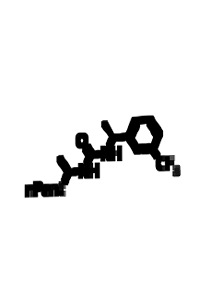 CCCCCC(C)NC(=O)N[C@@H](C)c1cccc(C(F)(F)F)c1